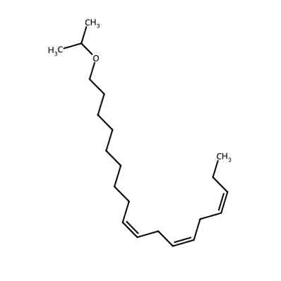 CC/C=C\C/C=C\C/C=C\CCCCCCCCOC(C)C